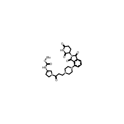 CC(C)(C)OC(=O)N[C@@H]1CCN(C(=O)CCN2CCN(c3cccc4c3C(=O)N(C3CCC(=O)NC3=O)C4=O)CC2)C1